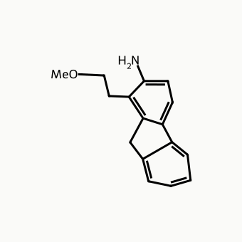 COCCc1c(N)ccc2c1Cc1ccccc1-2